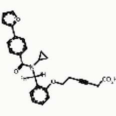 [2H]C([2H])(c1ccccc1OCCC#CCC(=O)O)N(C(=O)c1ccc(-c2ccco2)cc1)C1CC1